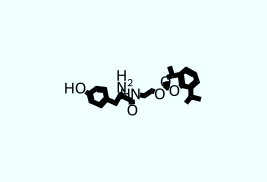 CC(C)c1cccc(C(C)C)c1OC(=O)OCCNC(=O)[C@@H](N)Cc1ccc(O)cc1